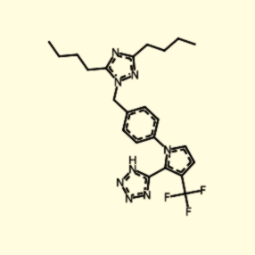 CCCCc1nc(CCCC)n(Cc2ccc(-n3ccc(C(F)(F)F)c3-c3nnn[nH]3)cc2)n1